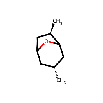 C[C@@H]1CC2C[C@@H](C)C(C1)O2